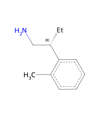 CC[C@@H](CN)c1ccccc1C